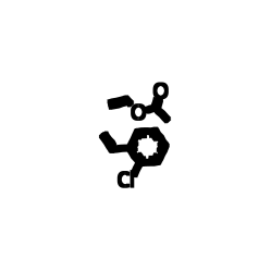 C=COC(C)=O.C=Cc1ccccc1Cl